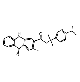 CC(C)c1ccc(C(C)(C)NC(=O)c2cc3[nH]c4ccccc4c(=O)c3cc2F)cn1